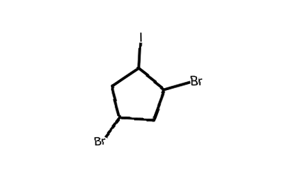 BrC1CC(Br)C(I)C1